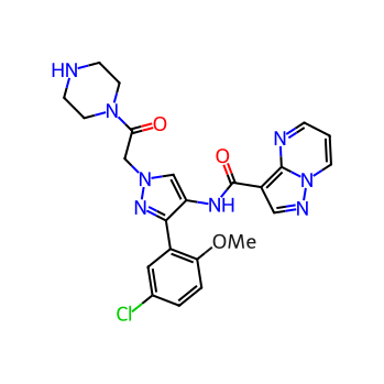 COc1ccc(Cl)cc1-c1nn(CC(=O)N2CCNCC2)cc1NC(=O)c1cnn2cccnc12